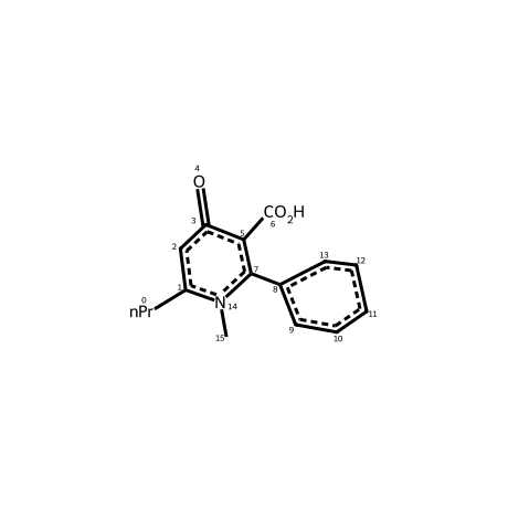 CCCc1cc(=O)c(C(=O)O)c(-c2ccccc2)n1C